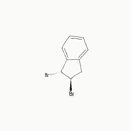 Br[C@@H]1Cc2ccccc2[C@H]1Br